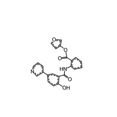 O=C(Nc1ccccc1C(=O)Oc1ccoc1)c1cc(-c2cccnc2)ccc1O